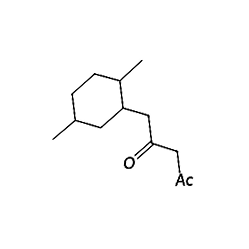 CC(=O)CC(=O)CC1CC(C)CCC1C